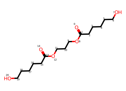 O=C(CCCCCO)OCCCOC(=O)CCCCCO